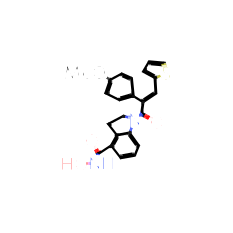 COc1ccc(/C(=C\c2cccs2)C(=O)N2CCc3c(C(=O)NO)cccc32)cc1